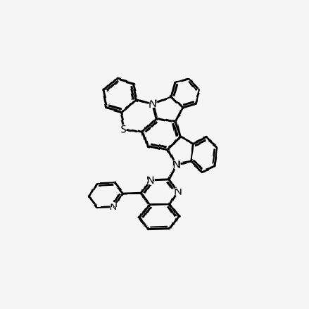 C1=CC(c2nc(-n3c4ccccc4c4c5c6ccccc6n6c5c(cc43)Sc3ccccc3-6)nc3ccccc23)=NCC1